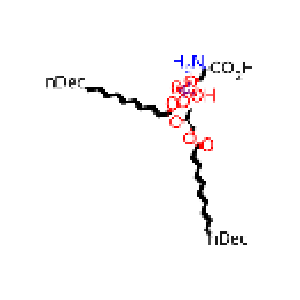 CCCCCCCCCCCC=CC=CC=CC=CC(=O)OC[C@H](COP(=O)(O)OC[C@H](N)C(=O)O)OC(=O)C=CC=CC=CC=CCCCCCCCCCCC